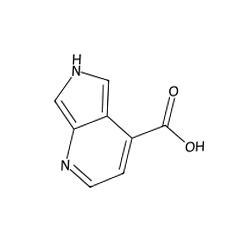 O=C(O)c1ccnc2c[nH]cc12